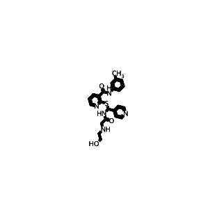 Cc1cccc(NC(=O)c2cccnc2SC(NC(=O)CNCCO)c2ccncc2)c1